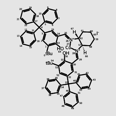 CC(C)(C)c1cc(C(c2ccccc2)(c2ccccc2)c2ccccc2)cc(C=[N+]2[Co][N+](=Cc3cc(C(c4ccccc4)(c4ccccc4)c4ccccc4)cc(C(C)(C)C)c3O)[C@@H]3CCCC[C@H]32)c1O.[I-]